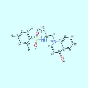 Cc1cc(C)c(S(=O)(=O)NC(Cn2ccc(=O)c3ccccc32)C(F)(F)F)c(C)c1